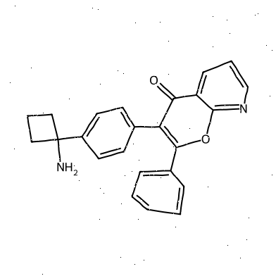 NC1(c2ccc(-c3c(-c4ccccc4)oc4ncccc4c3=O)cc2)CCC1